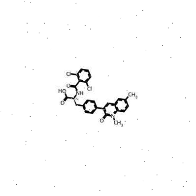 Cc1ccc2c(c1)cc(-c1ccc(C[C@H](NC(=O)c3c(Cl)cccc3Cl)C(=O)O)cc1)c(=O)n2C